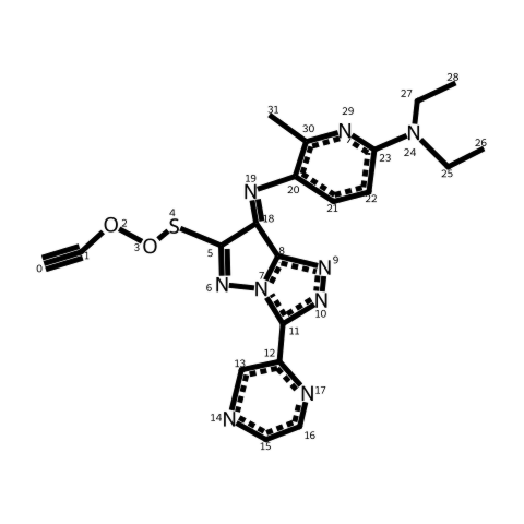 C#COOSC1=Nn2c(nnc2-c2cnccn2)/C1=N\c1ccc(N(CC)CC)nc1C